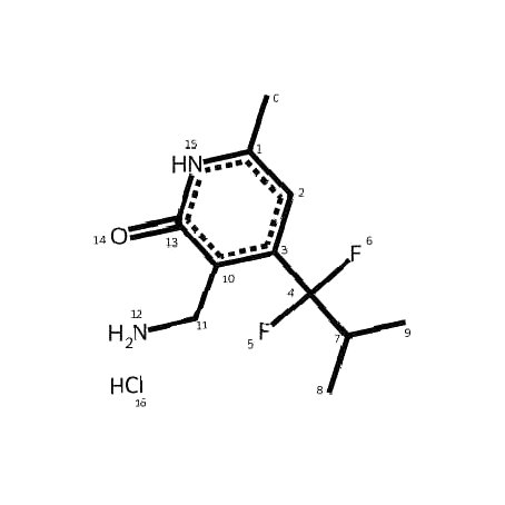 Cc1cc(C(F)(F)C(C)C)c(CN)c(=O)[nH]1.Cl